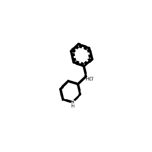 Cl.c1ccc(CC2CCCNC2)cc1